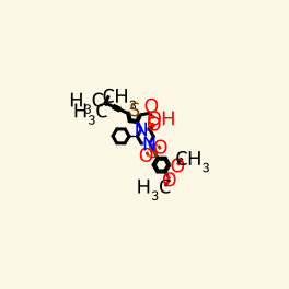 COc1ccc(S(=O)(=O)N2CC(=O)N(c3cc(C#CC(C)(C)C)sc3C(=O)O)[C@H](C3CCCCC3)C2)cc1OC